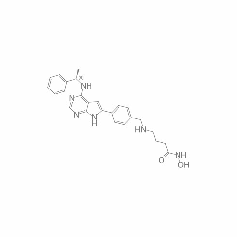 C[C@@H](Nc1ncnc2[nH]c(-c3ccc(CNCCCC(=O)NO)cc3)cc12)c1ccccc1